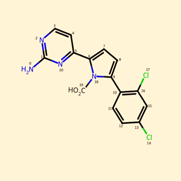 Nc1nccc(-c2ccc(-c3ccc(Cl)cc3Cl)n2C(=O)O)n1